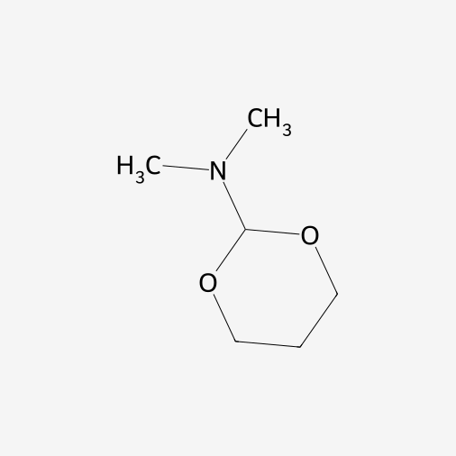 CN(C)C1OCCCO1